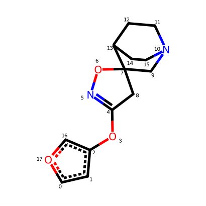 c1cc(OC2=NOC3(C2)CN2CCC3CC2)co1